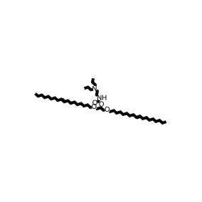 CCCCCCCCC=CCCCCCCCCOCC(COCCCCCCCCC=CCCCCCCCC)OC(=O)NCCN(CCC)CCC